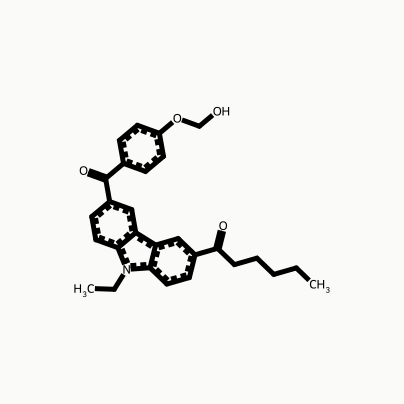 CCCCCC(=O)c1ccc2c(c1)c1cc(C(=O)c3ccc(OCO)cc3)ccc1n2CC